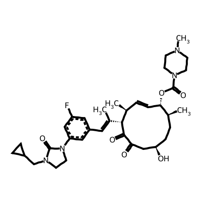 C/C(=C\c1cc(F)cc(N2CCN(CC3CC3)C2=O)c1)[C@H]1C(=O)C(=O)C[C@H](O)CC[C@H](C)[C@@H](OC(=O)N2CCN(C)CC2)/C=C/[C@@H]1C